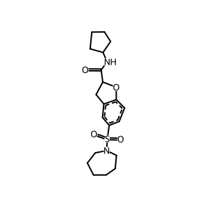 O=C(NC1CCCC1)C1Cc2cc(S(=O)(=O)N3CCCCCC3)ccc2O1